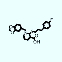 O=C(O)C1=CC=CN(Cc2ccc3c(c2)OCO3)C1SCCCc1ccc(F)cc1